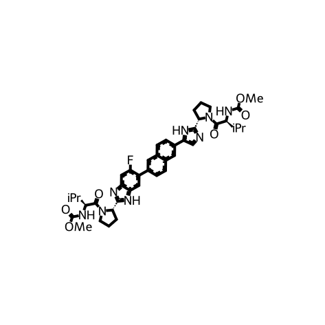 COC(=O)N[C@H](C(=O)N1CCC[C@H]1c1ncc(-c2ccc3cc(-c4cc5[nH]c([C@@H]6CCCN6C(=O)[C@@H](NC(=O)OC)C(C)C)nc5cc4F)ccc3c2)[nH]1)C(C)C